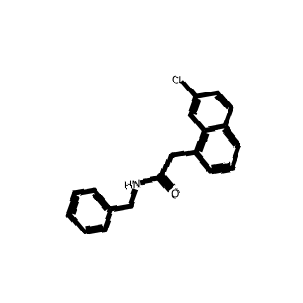 O=C(Cc1cccc2ccc(Cl)cc12)NCc1ccccc1